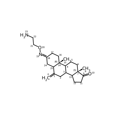 C=C1CC2C(CC[C@]3(C)C(=O)CCC23)[C@@]2(C)CCC(=NOCCN)CC12